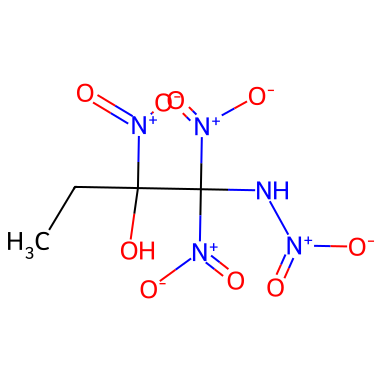 CCC(O)([N+](=O)[O-])C(N[N+](=O)[O-])([N+](=O)[O-])[N+](=O)[O-]